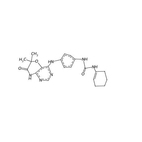 CC1(C)Oc2c(ncnc2Nc2ccc(NC(=O)NC3=CCCCC3)cc2)NC1=O